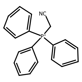 N#CC[P+](c1ccccc1)(c1ccccc1)c1ccccc1